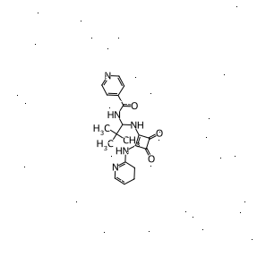 CC(C)(C)C(NC(=O)c1ccncc1)Nc1c(NC2=NC=CCC2)c(=O)c1=O